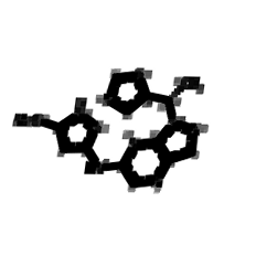 COc1cc(Nc2cnc3cnn([C@@H](C)c4cncs4)c3n2)n[nH]1